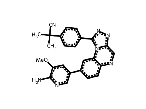 COc1cc(-c2ccc3ncc4nnc(-c5ccc(C(C)(C)C#N)cc5)n4c3c2)cnc1N